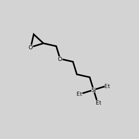 CC[Si](CC)(CC)CCCOCC1CO1